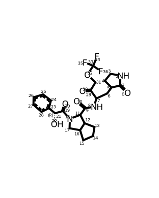 O=C1NCCC1CC(NC(=O)C1C2CCCC2CN1C(=O)[C@H](O)c1ccccc1)C(=O)COC(F)(F)F